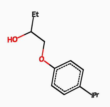 CCC(O)COc1ccc(C(C)C)cc1